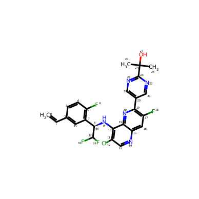 C=Cc1ccc(F)c([C@@H](Nc2c(Cl)cnc3cc(F)c(-c4cnc(C(C)(C)O)nc4)nc23)C(F)F)c1